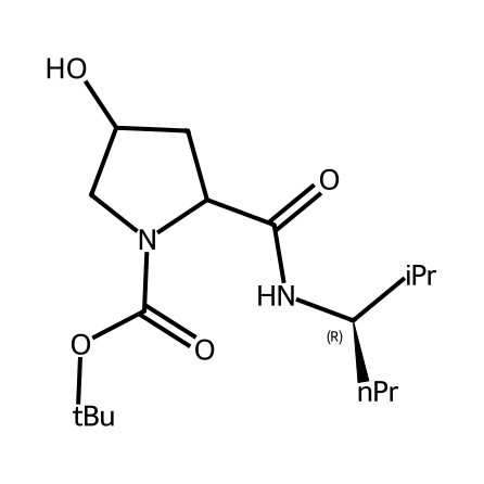 CCC[C@@H](NC(=O)C1CC(O)CN1C(=O)OC(C)(C)C)C(C)C